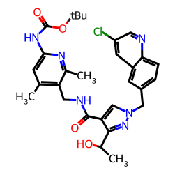 Cc1cc(NC(=O)OC(C)(C)C)nc(C)c1CNC(=O)c1cn(Cc2ccc3ncc(Cl)cc3c2)nc1C(C)O